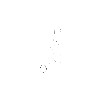 COc1ccc(F)cc1-c1cc(C(F)(F)F)c(N[C@@H]2C[C@@H]3CN(CC4CCOCC4)C[C@@H]3C2)nn1